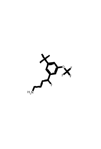 CC(C)(C)c1cc(OC(F)(F)F)cc(C(F)CCCN)c1